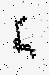 CC(C)OC(=O)c1cc2c(cn1)C[C@@]1(C2)C(=O)Nc2ncc(/C=C/COCCN(C)C(=O)OC(C)(C)C)cc21